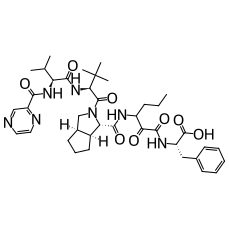 CCCC(NC(=O)[C@@H]1[C@H]2CCC[C@H]2CN1C(=O)[C@@H](NC(=O)[C@@H](NC(=O)c1cnccn1)C(C)C)C(C)(C)C)C(=O)C(=O)N[C@@H](Cc1ccccc1)C(=O)O